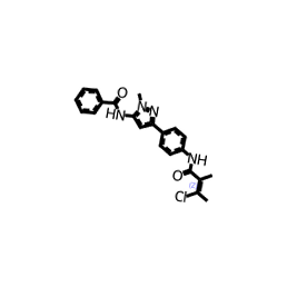 C/C(Cl)=C(\C)C(=O)Nc1ccc(-c2cc(NC(=O)c3ccccc3)n(C)n2)cc1